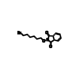 O=C1C2C=CC=CC2C(=O)N1OCCCCCCBr